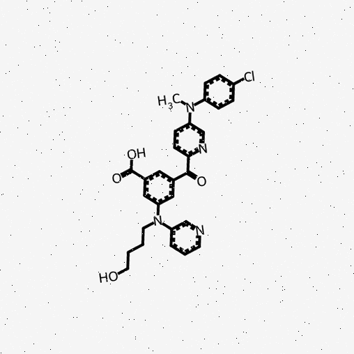 CN(c1ccc(Cl)cc1)c1ccc(C(=O)c2cc(C(=O)O)cc(N(CCCCO)c3cccnc3)c2)nc1